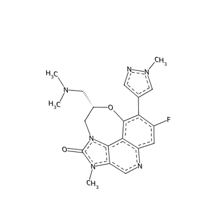 CN(C)C[C@H]1Cn2c(=O)n(C)c3cnc4cc(F)c(-c5cnn(C)c5)c(c4c32)O1